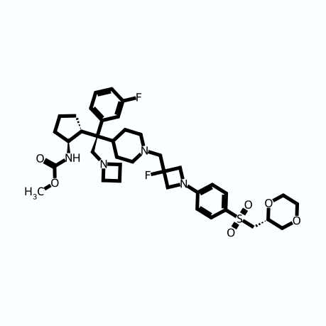 COC(=O)N[C@H]1CCC[C@@H]1[C@](CN1CCC1)(c1cccc(F)c1)C1CCN(CC2(F)CN(c3ccc(S(=O)(=O)C[C@H]4COCCO4)cc3)C2)CC1